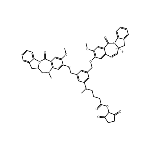 COc1cc2c(cc1OCc1cc(COc3cc4c(cc3OC)C(=O)N3c5ccccc5CC3CN4C)cc(N(C)CCCC(=O)OC3C(=O)CCC3=O)c1)N=C[C@@H]1Cc3ccccc3N1C2=O